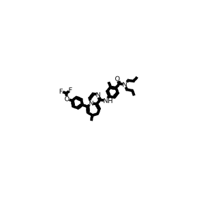 CCCN(CCC)C(=O)c1ccc(NC2=NC=CN3C2=CCC(C)C=C3c2ccc(OC(F)F)cc2)cc1C